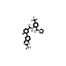 CNc1ncc2cc(-c3cc(C(=O)Nc4cc(C(F)(F)F)ccc4C(=O)N4CCCC4)ccc3C)ccc2n1